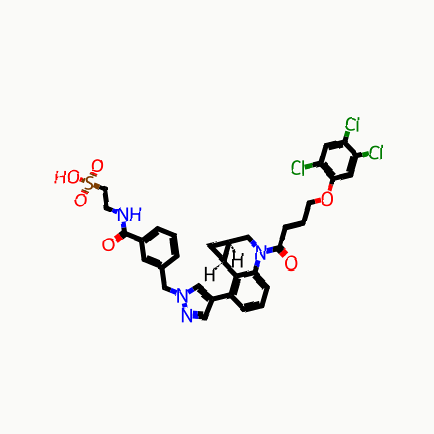 O=C(NCCS(=O)(=O)O)c1cccc(Cn2cc(-c3cccc4c3[C@H]3C[C@H]3CN4C(=O)CCCOc3cc(Cl)c(Cl)cc3Cl)cn2)c1